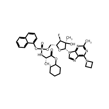 Cc1nc(N2CCC2)c2ncn([C@@H]3O[C@H](COP(=O)(N[C@@H](C)C(=O)OC4CCCCC4)Oc4cccc5ccccc45)[C@@H](F)[C@@]3(C)O)c2n1